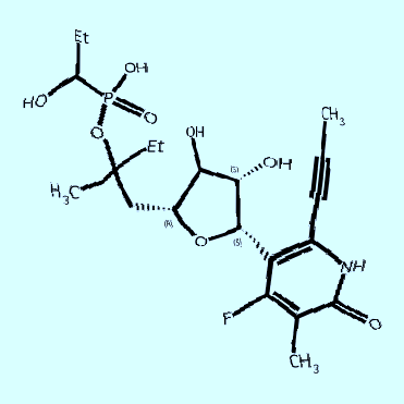 CC#Cc1[nH]c(=O)c(C)c(F)c1[C@@H]1O[C@H](CC(C)(CC)OP(=O)(O)C(O)CC)C(O)[C@@H]1O